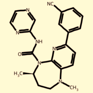 C[C@@H]1CCN(C)c2ccc(-c3cccc(C#N)c3)nc2N1C(=O)Nc1cnccn1